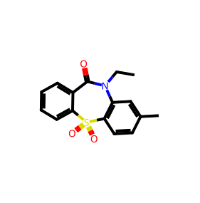 CCN1C(=O)c2ccccc2S(=O)(=O)c2ccc(C)cc21